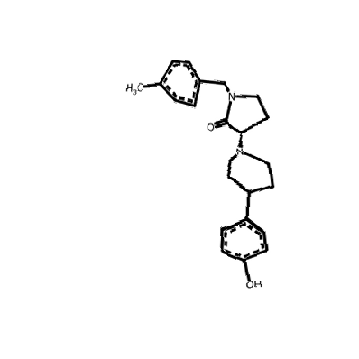 Cc1ccc(CN2CC[C@@H](N3CCC(c4ccc(O)cc4)CC3)C2=O)cc1